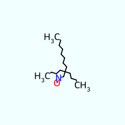 CCCCCCCCC(CCCC)(CCCC)CN=O